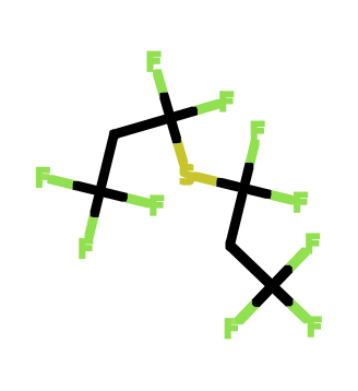 FC(F)(F)CC(F)(F)SC(F)(F)CC(F)(F)F